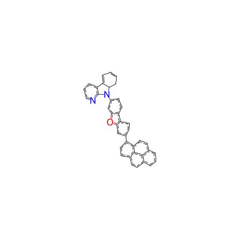 C1=CCC2C(=C1)c1cccnc1N2c1ccc2c(c1)oc1cc(-c3ccc4ccc5cccc6ccc3c4c56)ccc12